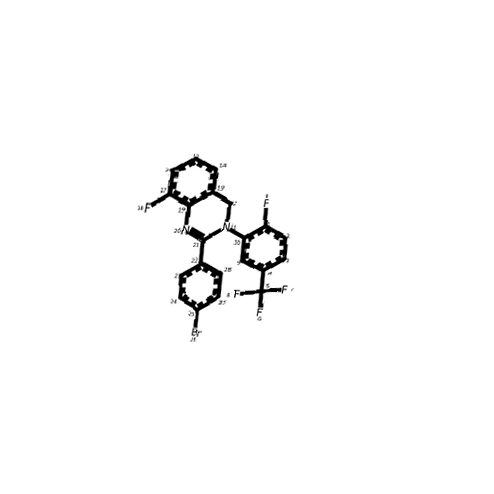 Fc1ccc(C(F)(F)F)cc1N1[C]c2cccc(F)c2N=C1c1ccc(Br)cc1